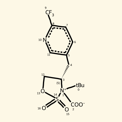 CC(C)(C)[N+]1(C(=O)[O-])[C@@H](Cc2ccc(C(F)(F)F)nc2)COS1(=O)=O